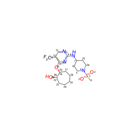 CS(=O)(=O)N1CCC(Nc2ncc(C(F)(F)F)c(O[C@H]3CCCCC[C@H]3O)n2)CC1